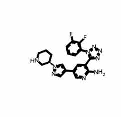 Nc1ncc(-c2cnn([C@@H]3CCCNC3)c2)cc1-c1nnnn1-c1cccc(F)c1F